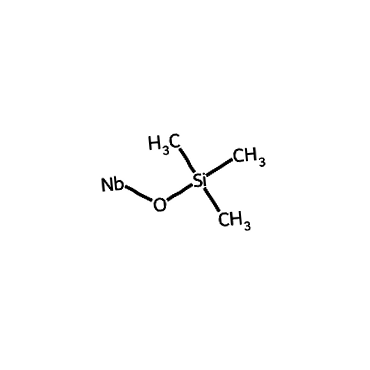 C[Si](C)(C)[O][Nb]